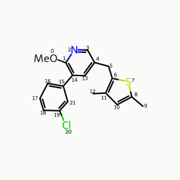 COc1ncc(Cc2sc(C)cc2C)cc1-c1cccc(Cl)c1